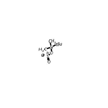 CC(C)(C)[Si](C)(C)O[SH](=O)=O